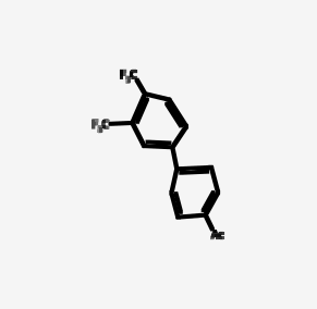 CC(=O)c1ccc(-c2ccc(C(F)(F)F)c(C(F)(F)F)c2)cc1